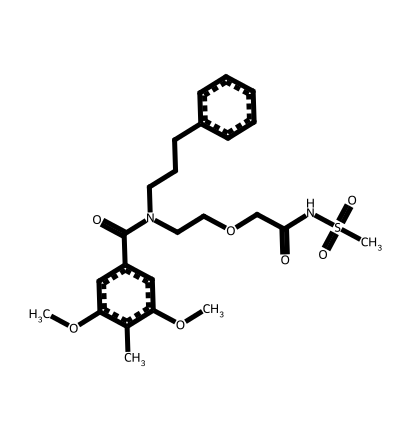 COc1cc(C(=O)N(CCCc2ccccc2)CCOCC(=O)NS(C)(=O)=O)cc(OC)c1C